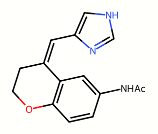 CC(=O)Nc1ccc2c(c1)/C(=C\c1c[nH]cn1)CCO2